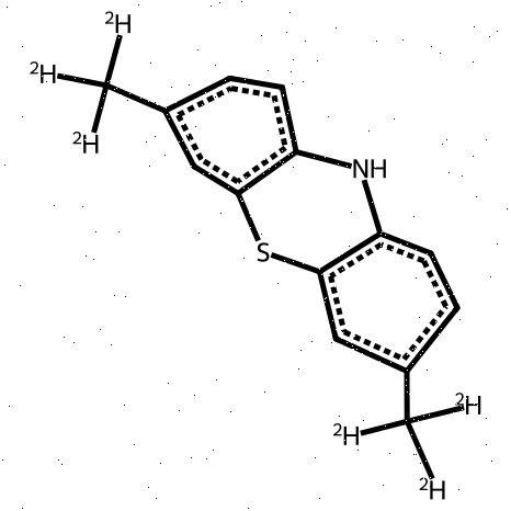 [2H]C([2H])([2H])c1ccc2c(c1)Sc1cc(C([2H])([2H])[2H])ccc1N2